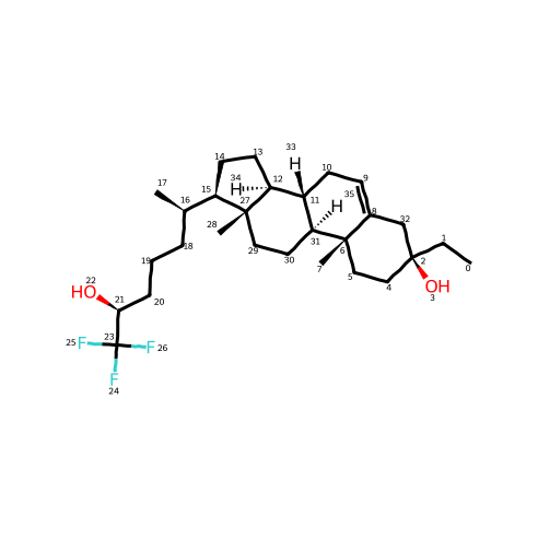 CC[C@]1(O)CC[C@@]2(C)C(=CC[C@H]3[C@@H]4CC[C@H]([C@H](C)CCC[C@H](O)C(F)(F)F)[C@@]4(C)CC[C@@H]32)C1